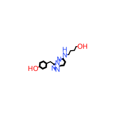 OCCCCNc1ccc2nnc(Cc3ccc(O)cc3)n2n1